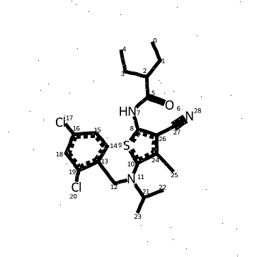 CCC(CC)C(=O)Nc1sc(N(Cc2ccc(Cl)cc2Cl)C(C)C)c(C)c1C#N